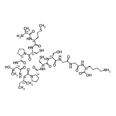 CC[C@H](C)[C@H](NC(=O)[C@@H](NC(=O)[C@@H]1CCCN1C(=O)[C@H](CS)NC(=O)[C@H](CCSC)NC(=O)[C@H](C)N)[C@@H](C)O)C(=O)N1CCC[C@H]1C(=O)N[C@@H](CS)C(=O)N[C@@H](CO)C(=O)NCC(=O)NCC(=O)N[C@@H](CCCCN)C(=O)O